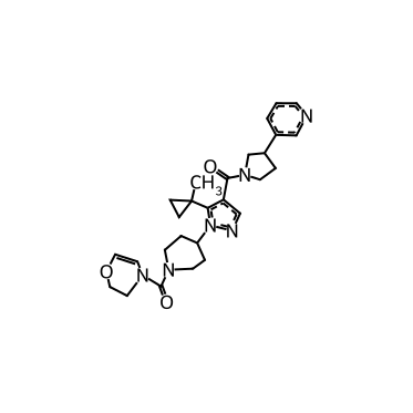 CC1(c2c(C(=O)N3CCC(c4cccnc4)C3)cnn2C2CCN(C(=O)N3C=COCC3)CC2)CC1